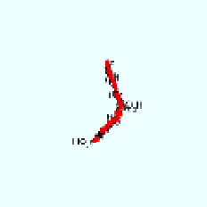 CC(=O)COCCOCCNC(=O)COCCOCCNC(=O)CCC[C@H](NC(=O)[C@H]1CC[C@H](CNC(=O)CCCCCCCCCCCCCCC(=O)O)CC1)C(=O)O